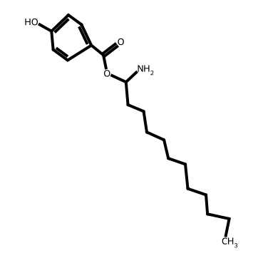 CCCCCCCCCCCC(N)OC(=O)c1ccc(O)cc1